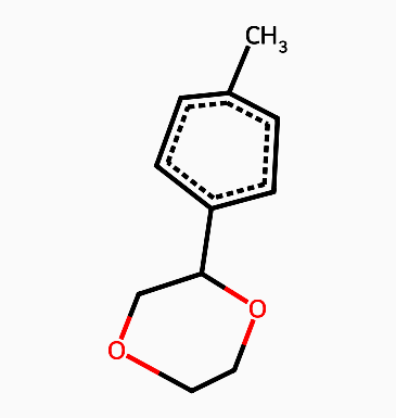 Cc1ccc(C2COCCO2)cc1